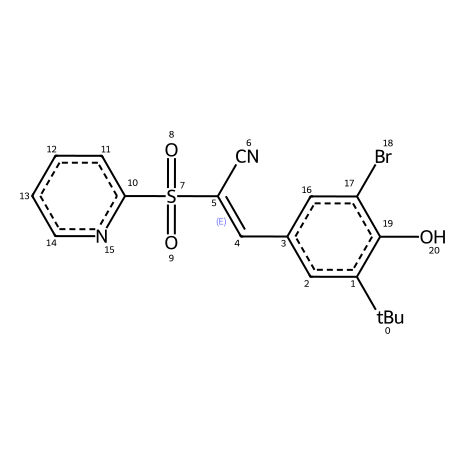 CC(C)(C)c1cc(/C=C(\C#N)S(=O)(=O)c2ccccn2)cc(Br)c1O